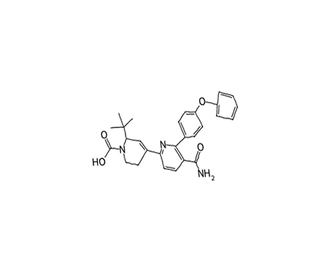 CC(C)(C)C1C=C(c2ccc(C(N)=O)c(-c3ccc(Oc4ccccc4)cc3)n2)CCN1C(=O)O